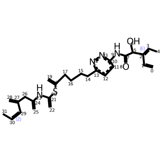 C=C/C(=C\C)C(O)C(=O)Nc1ccc(CCCCC(=C)SC(=C)NC(=C)CC(=C)/C=C\C)nn1